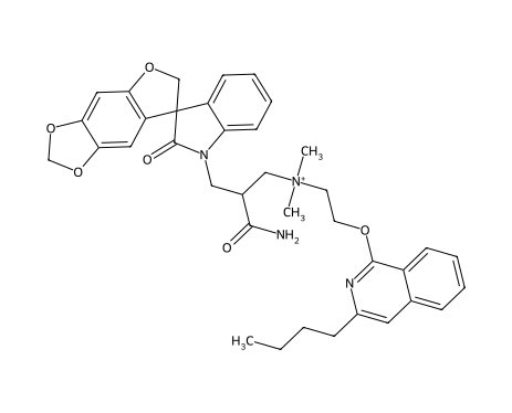 CCCCc1cc2ccccc2c(OCC[N+](C)(C)CC(CN2C(=O)C3(COc4cc5c(cc43)OCO5)c3ccccc32)C(N)=O)n1